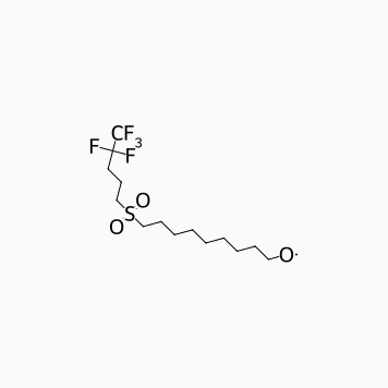 [O]CCCCCCCCCS(=O)(=O)CCCC(F)(F)C(F)(F)F